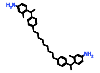 Cc1cc(N)ccc1C(C)c1ccc(CCCCCCCCCc2ccc(C(C)c3ccc(N)cc3C)cc2)cc1